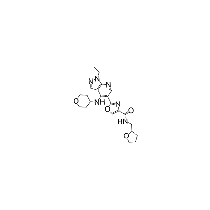 CCn1ncc2c(NC3CCOCC3)c(-c3nc(C(=O)NCC4CCCO4)co3)cnc21